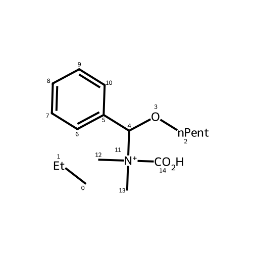 CCC.CCCCCOC(c1ccccc1)[N+](C)(C)C(=O)O